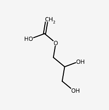 C=C(O)OCC(O)CO